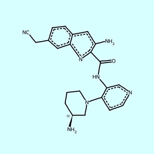 N#CCc1ccc2cc(N)c(C(=O)Nc3cnccc3N3CCC[C@H](N)C3)nc2c1